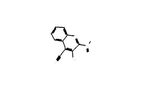 N#Cc1c(N)c([N+](=O)[O-])nc2ccccc12